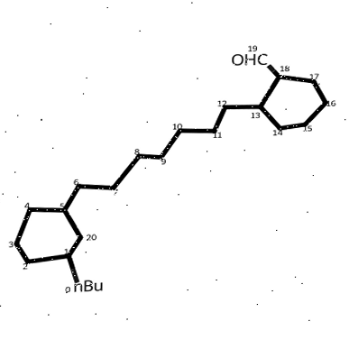 CCCCC1CCCC(CCCCCCCC2CCCCC2C=O)C1